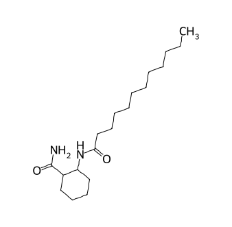 CCCCCCCCCCCC(=O)NC1CCCCC1C(N)=O